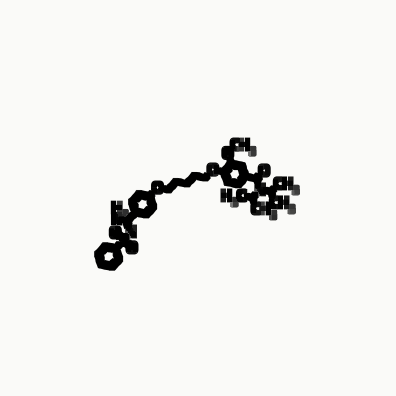 COc1cc(C(=O)N(C(C)C)C(C)C)ccc1OCCCCCOc1ccc(C(N)=NS(=O)(=O)c2ccccc2)cc1